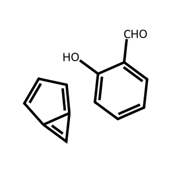 O=Cc1ccccc1O.c1cc2cc-2c1